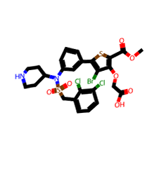 COC(=O)c1sc(-c2cccc(N(C3CCNCC3)S(=O)(=O)Cc3cccc(Cl)c3Cl)c2)c(Br)c1OCC(=O)O